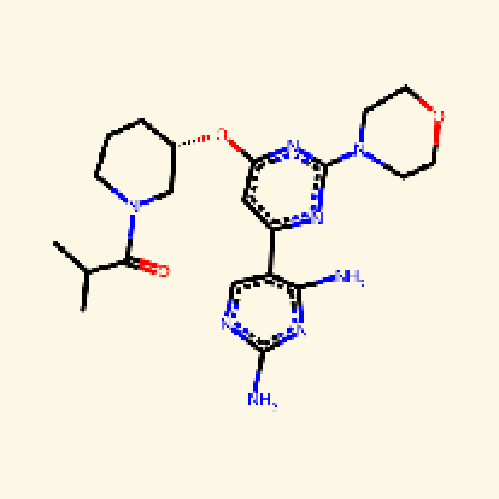 CC(C)C(=O)N1CCC[C@H](Oc2cc(-c3cnc(N)nc3N)nc(N3CCOCC3)n2)C1